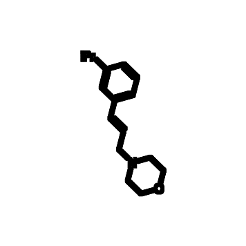 CC(C)c1cccc(/C=C/CN2CCOCC2)c1